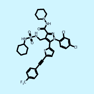 O=C(NN1CCCCC1)c1nn(-c2ccc(Cl)cc2Cl)c(-c2ccc(C#Cc3ccc(C(F)(F)F)cc3)s2)c1CNS(=O)(=O)NC1CCCCC1